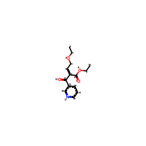 CCOC/C=C(\C(=O)OCC)C(=O)c1cccnc1